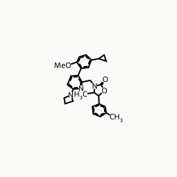 COc1ccc(C2CC2)cc1-c1ccc(N2CCC2)nc1CN1C(=O)OC(c2cccc(C)c2)C1C